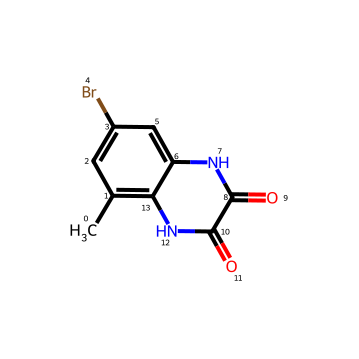 Cc1cc(Br)cc2[nH]c(=O)c(=O)[nH]c12